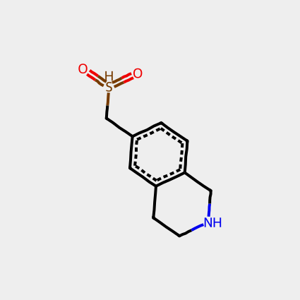 O=[SH](=O)Cc1ccc2c(c1)CCNC2